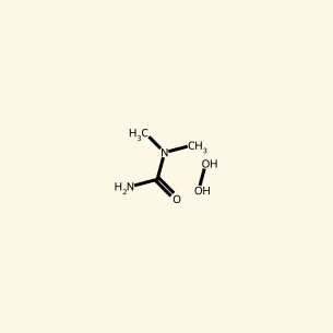 CN(C)C(N)=O.OO